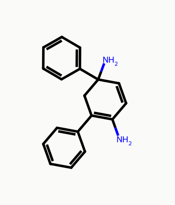 NC1=C(c2ccccc2)CC(N)(c2ccccc2)C=C1